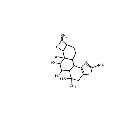 C=C1OC2C1CCC1C3c4nc(N)sc4CC(C)(C)C3C(O)C(O)C12C(C)=O